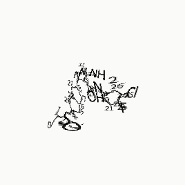 CC[S+]([O-])C1CC2CC(c3nn(C)c(N)c3C(=O)Nc3ccc(F)c(Cl)c3)CC2C1